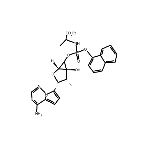 CCOC(=O)[C@H](C)NP(=O)(Oc1cccc2ccccc12)OC1[C@H]2O[C@@H](c3ccc4c(N)ncnn34)[C@@H](C)[C@@]12O